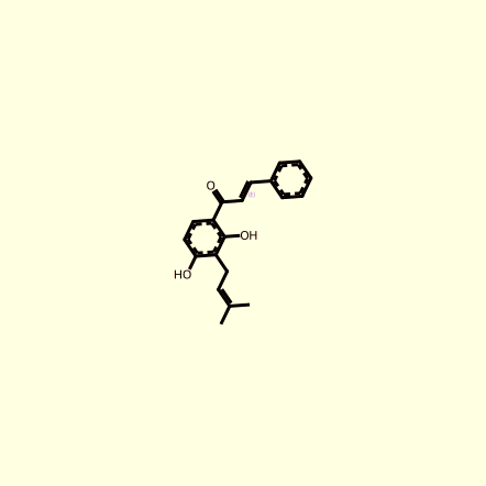 CC(C)=CCc1c(O)ccc(C(=O)/C=C/c2ccccc2)c1O